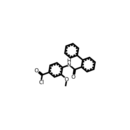 COc1cc(C(=O)Cl)ccc1NC(=O)c1ccccc1-c1ccccc1